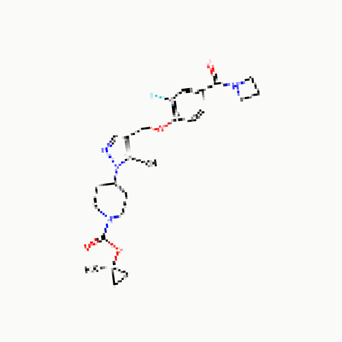 CC1(OC(=O)N2CCC(n3ncc(COc4ccc(C(=O)N5CCC5)cc4F)c3C#N)CC2)CC1